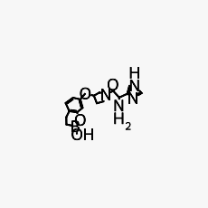 NC(C(=O)N1CCC(Oc2ccc3c(c2)OB(O)CC3)C1)c1c[nH]cn1